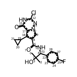 CC(C)(O)[C@@H](NC(=O)c1cn2nc(Cl)[nH]c(=O)c2c1C1CC1)c1ccc(F)cc1